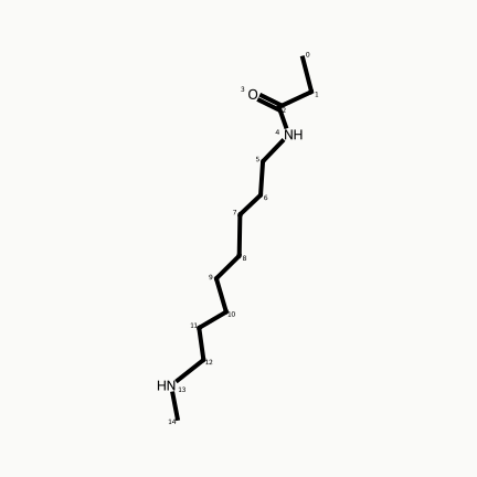 CCC(=O)NCCCCCCCCNC